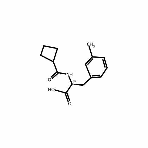 Cc1cccc(C[C@H](NC(=O)C2CCC2)C(=O)O)c1